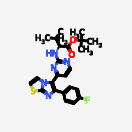 CC(C)[C@@H](Nc1nccc(-c2c(-c3ccc(F)cc3)nc3sccn23)n1)C(=O)OC(C)(C)C